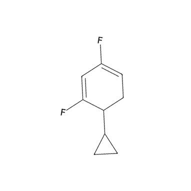 FC1=CCC(C2CC2)C(F)=C1